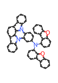 c1ccc2c(c1)oc1c(N(c3ccc4c(c3)n3c5ccccc5c5ccc6c7ccccc7n4c6c53)c3cccc4oc5ccccc5c34)cccc12